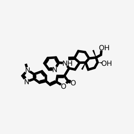 C=C1CCC2[C@](C)(CC[C@@H](O)[C@@]2(C)CO)C1CC(Nc1ccccn1)C1=C/C(=C\c2ccc3c(c2)ncn3C)OC1=O